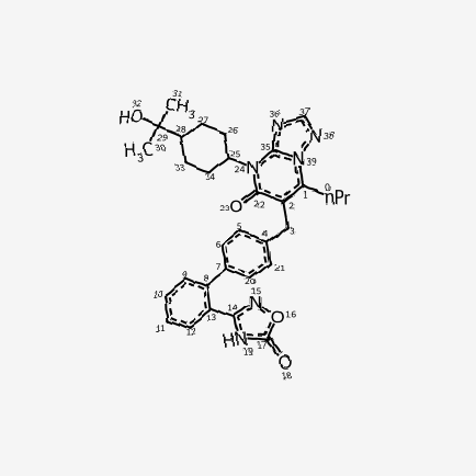 CCCc1c(Cc2ccc(-c3ccccc3-c3noc(=O)[nH]3)cc2)c(=O)n(C2CCC(C(C)(C)O)CC2)c2ncnn12